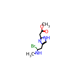 CN[C@@H](Br)Cc1c[nH]c(CC(=O)OC)n1